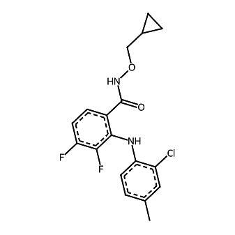 Cc1ccc(Nc2c(C(=O)NOCC3CC3)ccc(F)c2F)c(Cl)c1